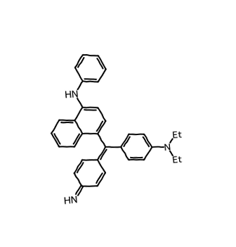 CCN(CC)c1ccc(C(=C2C=CC(=N)C=C2)c2ccc(Nc3ccccc3)c3ccccc23)cc1